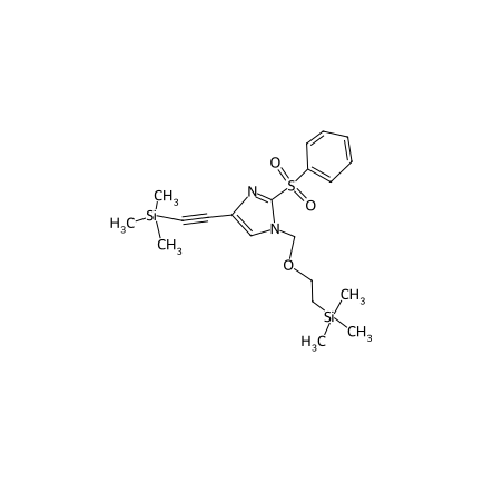 C[Si](C)(C)C#Cc1cn(COCC[Si](C)(C)C)c(S(=O)(=O)c2ccccc2)n1